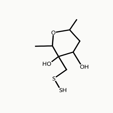 CC1CC(O)C(O)(CSS)C(C)O1